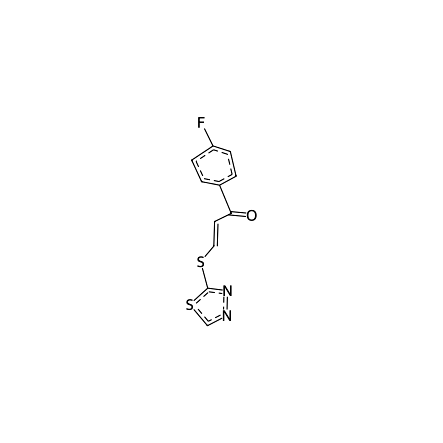 O=C(/C=C/Sc1nncs1)c1ccc(F)cc1